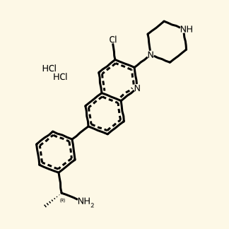 C[C@@H](N)c1cccc(-c2ccc3nc(N4CCNCC4)c(Cl)cc3c2)c1.Cl.Cl